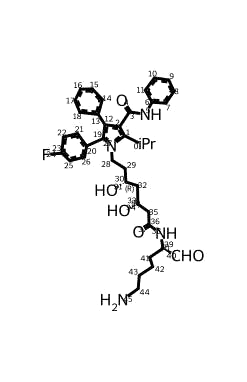 CC(C)c1c(C(=O)Nc2ccccc2)c(-c2ccccc2)c(-c2ccc(F)cc2)n1CC[C@@H](O)C[C@@H](O)CC(=O)N[C@@H](C=O)CCCCN